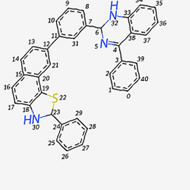 c1ccc(C2=NC(c3cccc(-c4ccc5ccc6c(c5c4)SC(c4ccccc4)N6)c3)Nc3ccccc32)cc1